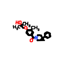 Cc1cc(C(=O)N2CCC3(c4ccccc4)CC3C2)ccc1OCC(C)(C)O